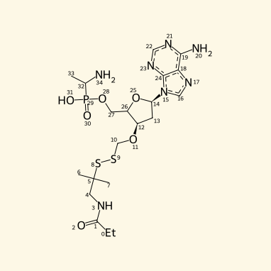 CCC(=O)NCC(C)(C)SSCO[C@@H]1C[C@H](n2cnc3c(N)ncnc32)OC1COP(=O)(O)C(C)N